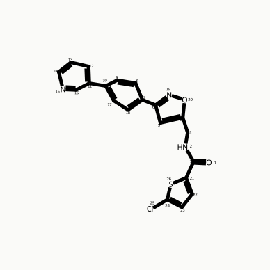 O=C(NCc1cc(-c2ccc(-c3cccnc3)cc2)no1)c1ccc(Cl)s1